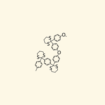 COc1ccc(C2(c3ccc(Oc4ccc(C5(c6ccc(C7(c8ccc(C)cc8)SCCCS7)cc6)SCCCS5)cc4)cc3)SCCCS2)cc1